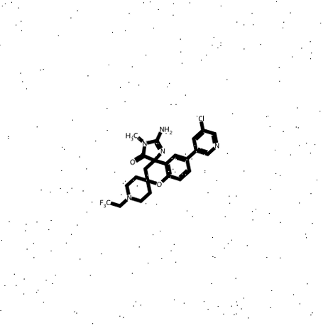 CN1C(=O)C2(CC3(CCN(CC(F)(F)F)CC3)Oc3ccc(-c4cncc(Cl)c4)cc32)N=C1N